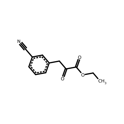 CCOC(=O)C(=O)Cc1cccc(C#N)c1